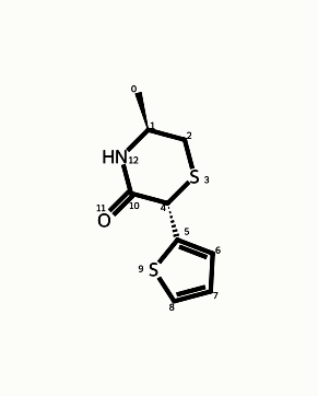 C[C@H]1CS[C@H](c2cccs2)C(=O)N1